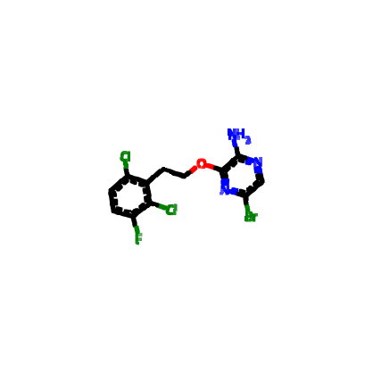 Nc1ncc(Br)nc1OCCc1c(Cl)ccc(F)c1Cl